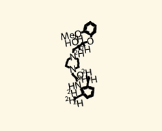 [2H]C([2H])([2H])c1cccc(C([2H])([2H])[2H])c1NC(=O)CN1CCN(CC([2H])(O)C([2H])([2H])Oc2ccccc2OC)CC1